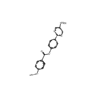 CCCCCCc1cnc(-c2ccc(OC(=O)c3ccc(OCCC)cc3)cc2)nc1